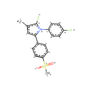 Cc1cc(-c2ccc(S(C)(=O)=O)cc2)n(-c2ccc(F)cc2)c1F